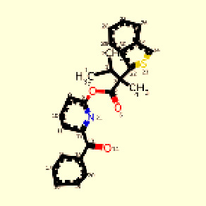 CC(C)C(C)(C(=O)Oc1cccc(C(=O)c2ccccc2)n1)c1scc2ccccc12